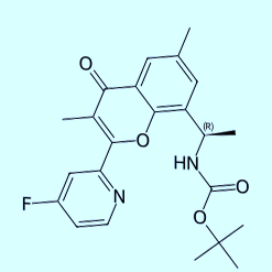 Cc1cc([C@@H](C)NC(=O)OC(C)(C)C)c2oc(-c3cc(F)ccn3)c(C)c(=O)c2c1